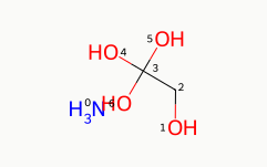 N.OCC(O)(O)O